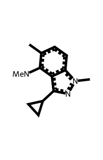 CNc1c(C)ccc2c1c(C1CC1)nn2C